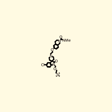 CNC(=O)N1CCc2cc(OCCN3CCC4(CC3)C(=O)N(COCC[Si](C)(C)C)c3ccc(Cl)cc34)ccc2C1